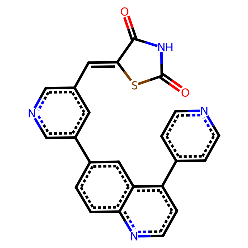 O=C1NC(=O)C(=Cc2cncc(-c3ccc4nccc(-c5ccncc5)c4c3)c2)S1